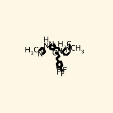 Cc1cc(Nc2ccc(CN(C(=O)C=Cc3ccc(C(F)(F)F)cc3)[C@H]3CCCN(C(C)C)C3)cn2)ccn1